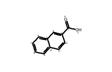 O=C(O)c1[c]c2ccccc2[c]c1